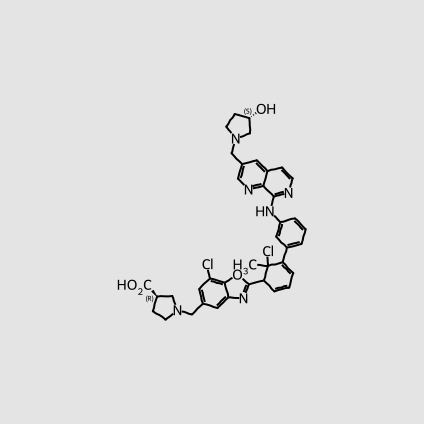 CC1(Cl)C(c2cccc(Nc3nccc4cc(CN5CC[C@H](O)C5)cnc34)c2)=CC=CC1c1nc2cc(CN3CC[C@@H](C(=O)O)C3)cc(Cl)c2o1